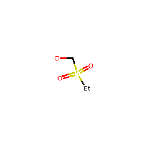 CCS(=O)(=O)C[O]